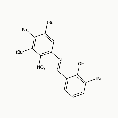 CCC(C)c1cccc(N=Nc2cc(C(C)(C)C)c(C(C)(C)C)c(C(C)(C)C)c2[N+](=O)[O-])c1O